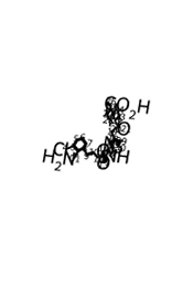 NCc1c(Cl)cccc1C=CCS(=O)(=O)Nc1nc(CC(=O)N2CCN(C(=O)O)CC2)cs1